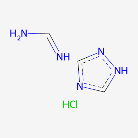 Cl.N=CN.c1nc[nH]n1